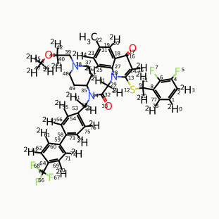 [2H]c1c([2H])c(F)c(F)c(C([2H])([2H])Sc2c([2H])c(=O)c3c([2H])c(C)c([2H])c([2H])c3n2C([2H])([2H])C(=O)N(C2CCN(CC([2H])([2H])OC([2H])([2H])[2H])CC2)C([2H])([2H])c2c([2H])c([2H])c(-c3c([2H])c([2H])c(C(F)(F)F)c([2H])c3[2H])c([2H])c2[2H])c1[2H]